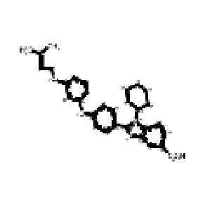 CC(C)=CCOc1cccc(Oc2ccc(-c3nc4cc(C(=O)O)ccc4n3C3CCCCC3)cc2)c1